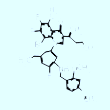 C=C(CCC)c1cn(C2=CC(NCc3ccc(OC)cc3OC)=C(F)C=C(CC)C2)c2c(Br)c(F)c(F)c(C)c2c1=O